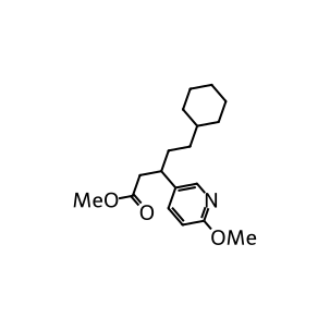 COC(=O)CC(CCC1CCCCC1)c1ccc(OC)nc1